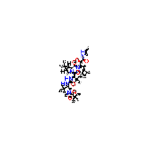 C=CCNC(=O)C(=O)C(CC1CCC1)NC(=O)[C@@H]1[C@@H]2[C@H](CN1C(=O)[C@@H](NC(=O)N[C@H](CN(C)S(=O)(=O)C(C)(C)C)C(C)(C)C)C(C)(C)C)C2(C)C